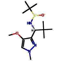 COc1cn(C)nc1[C@H](N[S+]([O-])C(C)(C)C)C(C)(C)C